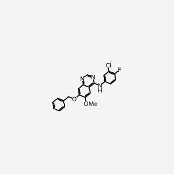 COc1cc2c(Nc3ccc(F)c(Cl)c3)ncnc2cc1OCc1ccccc1